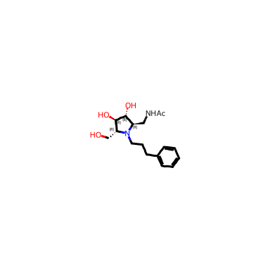 CC(=O)NC[C@@H]1[C@@H](O)[C@H](O)[C@@H](CO)N1CCCc1ccccc1